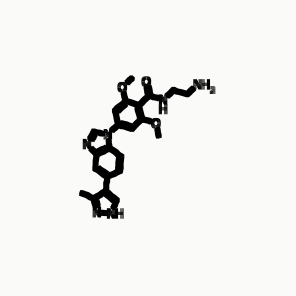 COc1cc(-n2cnc3cc(-c4c[nH]nc4C)ccc32)cc(OC)c1C(=O)NCCN